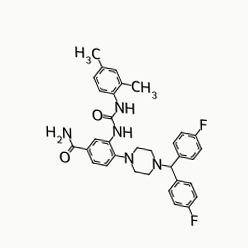 Cc1ccc(NC(=O)Nc2cc(C(N)=O)ccc2N2CCN(C(c3ccc(F)cc3)c3ccc(F)cc3)CC2)c(C)c1